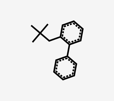 CC(C)(C)Cc1ccccc1-c1ccccc1